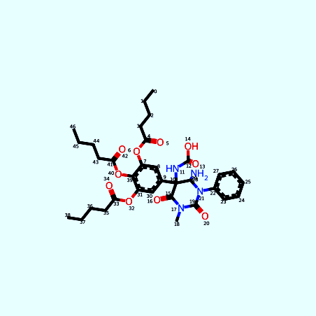 CCCCC(=O)Oc1cc(C2(NC(=O)O)C(=O)N(C)C(=O)N(c3ccccc3)C2N)cc(OC(=O)CCCC)c1OC(=O)CCCC